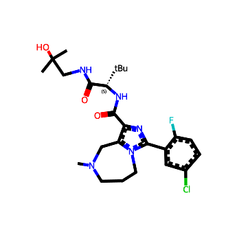 CN1CCCn2c(-c3cc(Cl)ccc3F)nc(C(=O)N[C@H](C(=O)NCC(C)(C)O)C(C)(C)C)c2C1